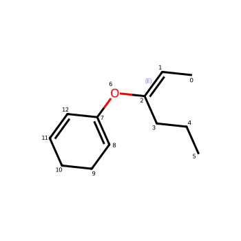 C/C=C(\CCC)OC1=CCCC=C1